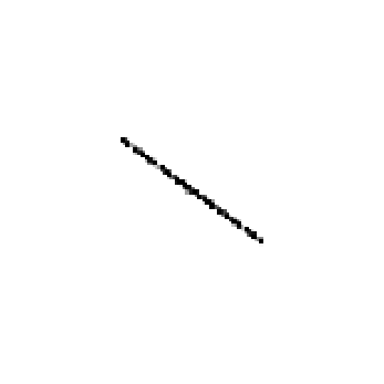 CCCCCCCCCCCCCCCCCCCC[CH]CCCCCCCCCCCCCCCCCCCC